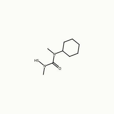 CN(S)C(=O)N(C)C1CCCCC1